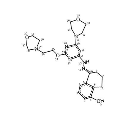 Oc1cccc2c1CCCC2=NNc1cc(N2CCOCC2)nc(OCCN2CCOCC2)n1